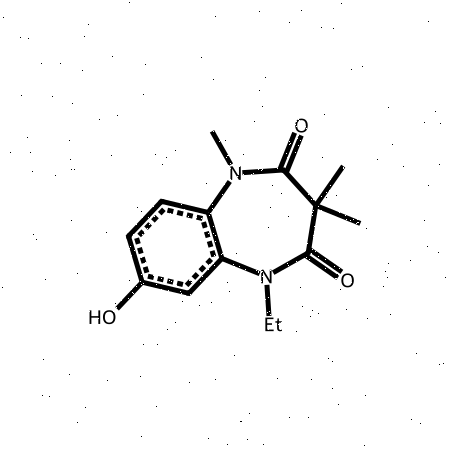 CCN1C(=O)C(C)(C)C(=O)N(C)c2ccc(O)cc21